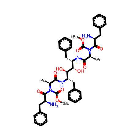 CC(C)[C@@H](C(=O)N[C@@H](Cc1ccccc1)[C@H](O)[C@H](O)[C@H](Cc1ccccc1)NC(=O)[C@H](C(C)C)N(C(=O)OC(C)(C)C)C(=O)[C@@H](N)Cc1ccccc1)N(C(=O)OC(C)(C)C)C(=O)[C@@H](N)Cc1ccccc1